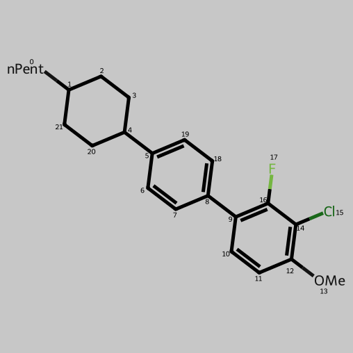 CCCCCC1CCC(c2ccc(-c3ccc(OC)c(Cl)c3F)cc2)CC1